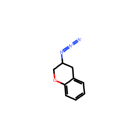 [N-]=[N+]=NC1COc2ccccc2C1